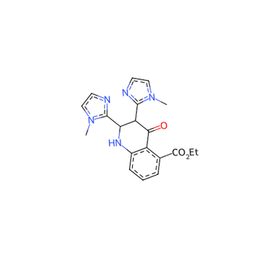 CCOC(=O)c1cccc2c1C(=O)C(c1nccn1C)C(c1nccn1C)N2